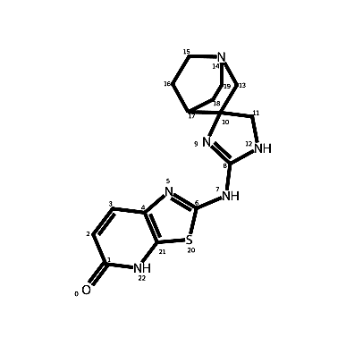 O=c1ccc2nc(NC3=NC4(CN3)CN3CCC4CC3)sc2[nH]1